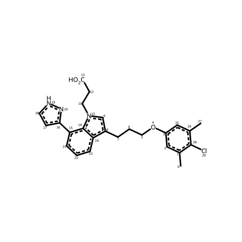 Cc1cc(OCCCc2cn(CCC(=O)O)c3c(-c4cc[nH]n4)cccc23)cc(C)c1Cl